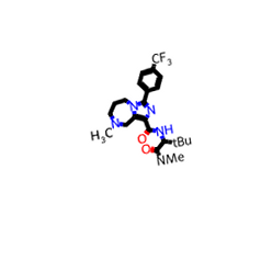 CNC(=O)C(NC(=O)c1nc(-c2ccc(C(F)(F)F)cc2)n2c1CN(C)CCC2)C(C)(C)C